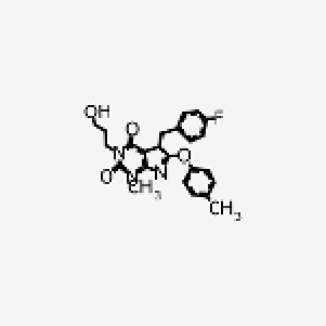 Cc1ccc(OC2=Nc3c(c(=O)n(CCCO)c(=O)n3C)C2Cc2ccc(F)cc2)cc1